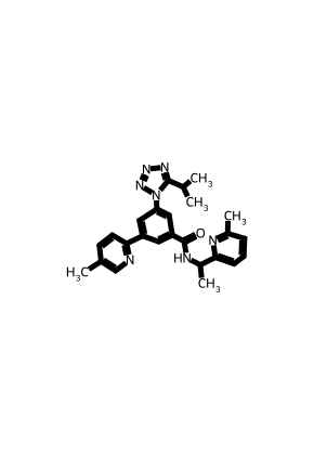 Cc1ccc(-c2cc(C(=O)NC(C)c3cccc(C)n3)cc(-n3nnnc3C(C)C)c2)nc1